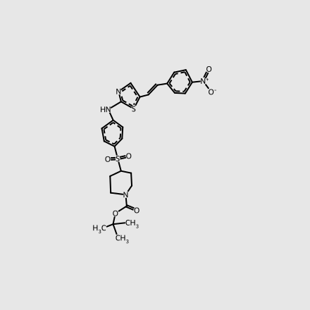 CC(C)(C)OC(=O)N1CCC(S(=O)(=O)c2ccc(Nc3ncc(/C=C/c4ccc([N+](=O)[O-])cc4)s3)cc2)CC1